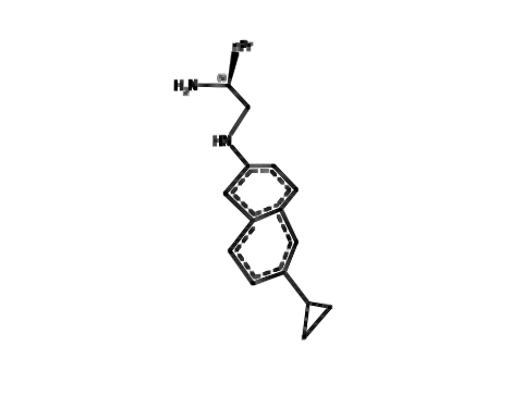 CCC[C@H](N)CNc1ccc2cc(C3CC3)ccc2c1